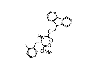 COC(=O)[C@H](Cc1ccccc1C)NC(=O)OCC1c2ccccc2-c2ccccc21